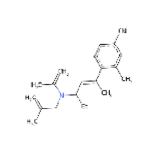 C=C(C)CN(C(=C)C)C(/C=C(\C)c1ccc(C#N)cc1C)CC